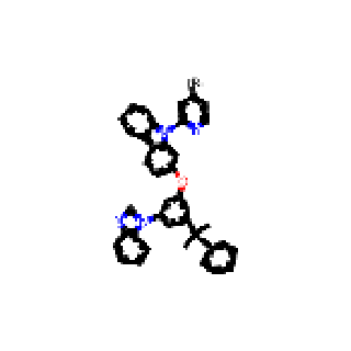 CC(C)(C)c1ccnc(-n2c3ccccc3c3ccc(Oc4cc(-n5cnc6ccccc65)cc(C(C)(C)c5ccccc5)c4)cc32)c1